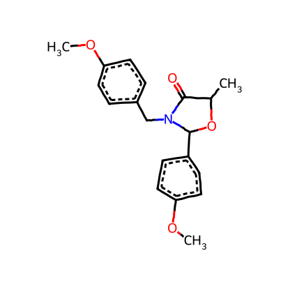 COc1ccc(CN2C(=O)C(C)OC2c2ccc(OC)cc2)cc1